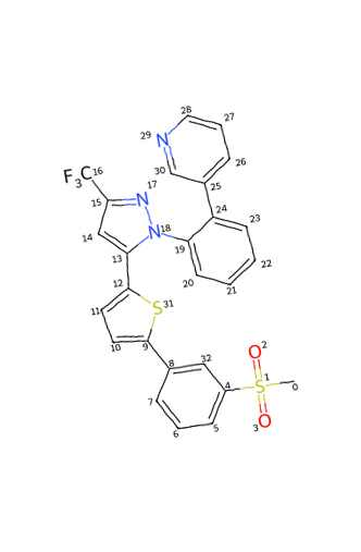 CS(=O)(=O)c1cccc(-c2ccc(-c3cc(C(F)(F)F)nn3-c3ccccc3-c3cccnc3)s2)c1